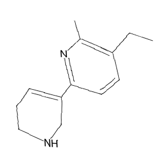 CCc1ccc(C2=CCCNC2)nc1C